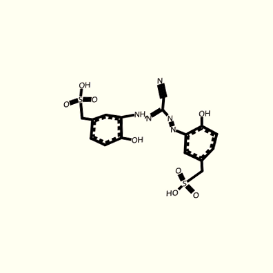 N#CC(N=Nc1cc(CS(=O)(=O)O)ccc1O)=NNc1cc(CS(=O)(=O)O)ccc1O